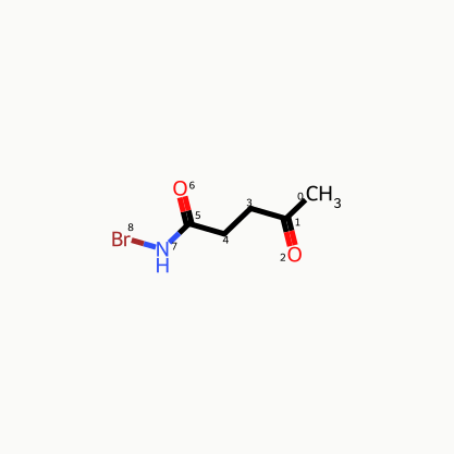 CC(=O)CCC(=O)NBr